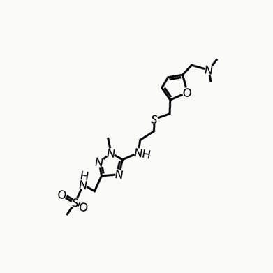 CN(C)Cc1ccc(CSCCNc2nc(CNS(C)(=O)=O)nn2C)o1